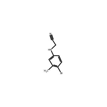 Cc1cc(NCC#N)ccc1Br